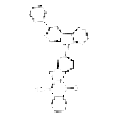 N#Cc1c2ccccc2c(=O)n2c1sc1cc(-n3c4ccccc4c4cc(-c5ccccc5)ccc43)ccc12